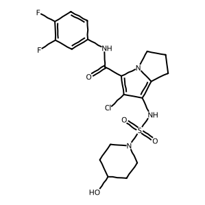 O=C(Nc1ccc(F)c(F)c1)c1c(Cl)c(NS(=O)(=O)N2CCC(O)CC2)c2n1CCC2